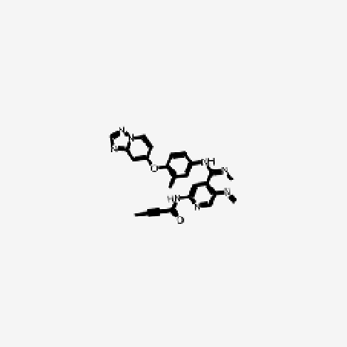 C=Nc1cnc(NC(=O)C#CC)cc1/C(=N\C)Nc1ccc(Oc2ccn3ncnc3c2)c(C)c1